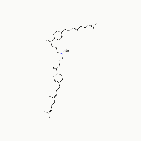 C=C(CCCN(CCCC(=C)C1CC=C(CC/C=C(\C)CCC=C(C)C)CC1)C(C)(C)C)C1CC=C(CC/C=C(\C)CCC=C(C)C)CC1